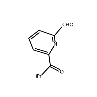 CC(C)C(=O)c1cccc(C=O)n1